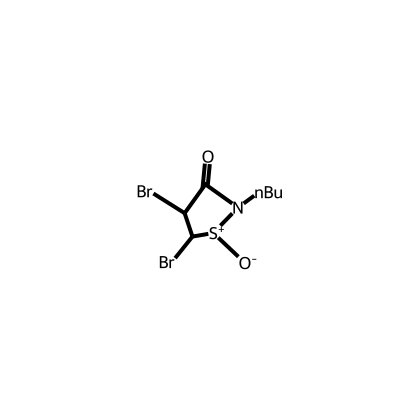 CCCCN1C(=O)C(Br)C(Br)[S+]1[O-]